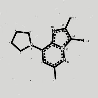 Cc1cc(N2CCCC2)c2nc(C)c(I)n2n1